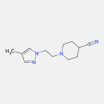 Cc1cnn(CCN2CCC(C#N)CC2)c1